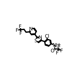 [O-][S+](Nc1ccc(-c2csc(-c3ccnc(CCC(F)(F)F)c3)n2)c(Cl)c1)C(F)(F)F